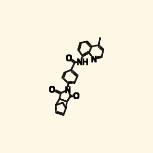 Cc1ccnc2c(NC(=O)c3ccc(N4C(=O)C5C6C=CC(C6)C5C4=O)cc3)cccc12